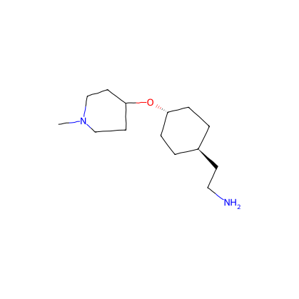 CN1CCC(O[C@H]2CC[C@H](CCN)CC2)CC1